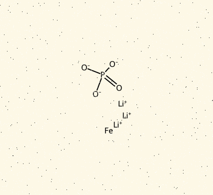 O=P([O-])([O-])[O-].[Fe].[Li+].[Li+].[Li+]